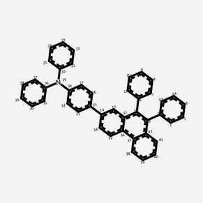 c1ccc(-c2c(-c3ccccc3)c3cc(-c4ccc(N(c5ccccc5)c5ccccc5)cc4)ccc3c3ccccc23)cc1